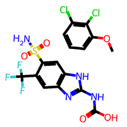 COc1cccc(Cl)c1Cl.NS(=O)(=O)c1cc2[nH]c(NC(=O)O)nc2cc1C(F)(F)F